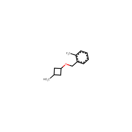 O=C(O)C1CC(OCc2ccccc2C(F)(F)F)C1